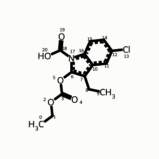 CCOC(=O)Oc1c(CC)c2cc(Cl)ccc2n1C(=O)O